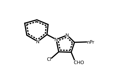 CCCc1nn(-c2ccccn2)c(Cl)c1C=O